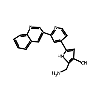 N#Cc1cc(-c2ccnc(-c3cnc4ccccc4c3)c2)[nH]c1CN